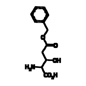 NC(C(=O)O)C(O)CC(=O)OCc1ccccc1